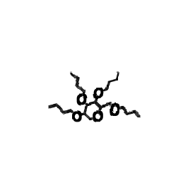 CCCCOCC1OCC(OCCCC)C(OCCCC)C1OCCCC